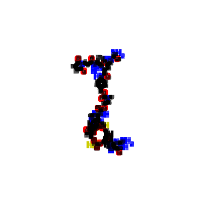 CC(C)[C@H](NC(=O)CCN1C(=O)C=CC1=O)C(=O)N[C@@H](CCCNC(N)=O)C(=O)Nc1ccc(COC(=O)N(C)CCOC(=O)Nc2ncnc3c2ncn3[C@@H]2O[C@@]34CO[C@@H]2[C@@H]3O[P@](=O)(S)OC[C@H]2O[C@@H](n3cnc5c(=O)[nH]c(N)nc53)[C@H](O[P@](=O)(S)OC4)[C@@H]2F)cc1